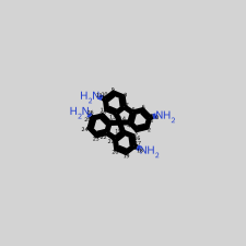 Nc1ccc2c(c1)-c1ccc(N)cc1C21c2cc(N)ccc2-c2ccc(N)cc21